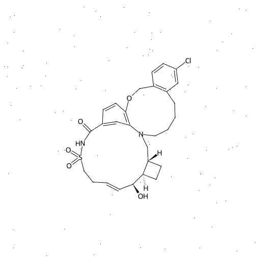 O=C1NS(=O)(=O)CC/C=C/[C@H](O)[C@@H]2CC[C@H]2CN2CCCCc3cc(Cl)ccc3COc3ccc1cc32